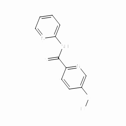 CCOc1ccc(C(=S)Nc2ccccn2)nc1